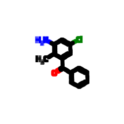 Cc1c(N)cc(Cl)cc1C(=O)c1ccccc1